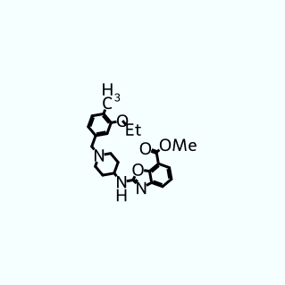 CCOc1cc(CN2CCC(Nc3nc4cccc(C(=O)OC)c4o3)CC2)ccc1C